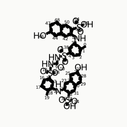 Cc1ccc(S(=O)(=O)NC(=O)NS(=O)(=O)c2ccc(C)c(Nc3cc4cc(O)ccc4cc3S(=O)(=O)O)c2)cc1Nc1cc2cc(O)ccc2cc1S(=O)(=O)O